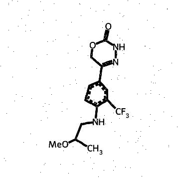 COC(C)CNc1ccc(C2=NNC(=O)OC2)cc1C(F)(F)F